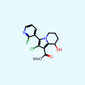 COC(=O)c1c(Cl)c(-c2cccnc2F)n2c1C(O)CCC2